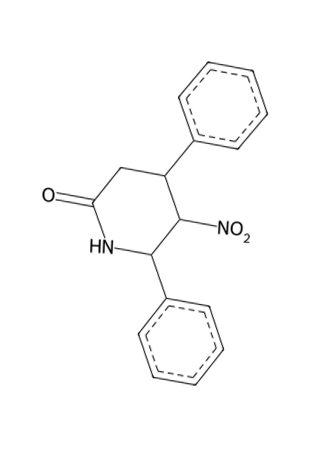 O=C1CC(c2ccccc2)C([N+](=O)[O-])C(c2ccccc2)N1